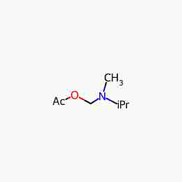 CC(=O)OCN(C)C(C)C